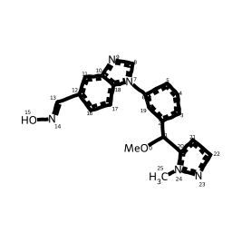 COC(c1cccc(-n2cnc3cc(/C=N/O)ccc32)c1)c1ccnn1C